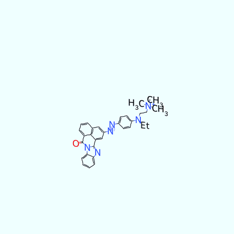 CCN(CC[N+](C)(C)C)c1ccc(/N=N/c2cc3cccc4c(=O)n5c6ccccc6nc5c(c2)c34)cc1